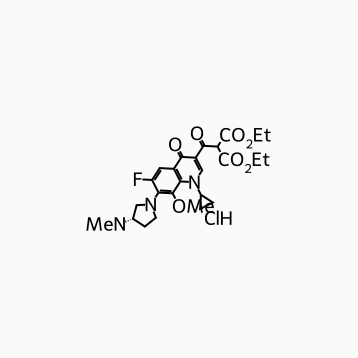 CCOC(=O)C(C(=O)OCC)C(=O)c1cn(C2CC2)c2c(OC)c(N3CC[C@H](NC)C3)c(F)cc2c1=O.Cl